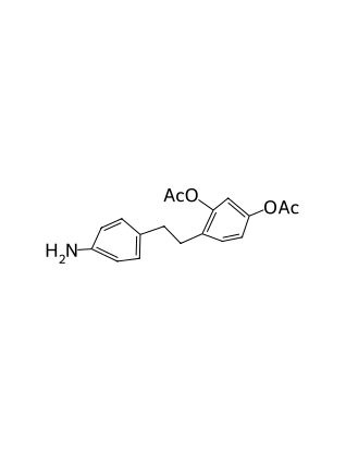 CC(=O)Oc1ccc(CCc2ccc(N)cc2)c(OC(C)=O)c1